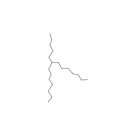 [CH2]CCCCC(CCCCCCC)CCCCCCC